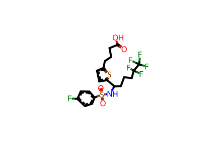 O=C(O)CCCc1ccc(C(CCCC(F)(F)C(F)(F)F)NS(=O)(=O)c2ccc(F)cc2)s1